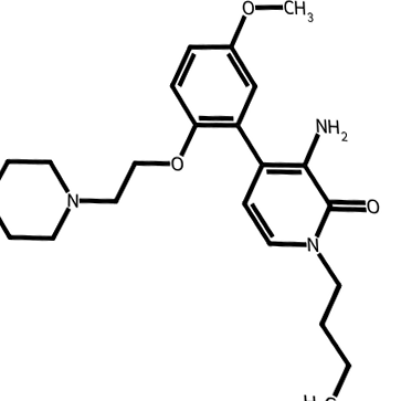 CCCCn1ccc(-c2cc(OC)ccc2OCCN2CCCCC2)c(N)c1=O